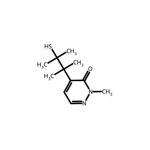 Cn1nccc(C(C)(C)C(C)(C)S)c1=O